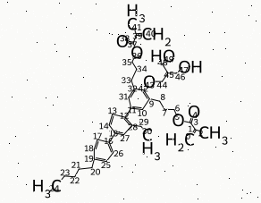 C=C(C)C(=O)OCCCc1cc(-c2ccc(-c3ccc(CCCCC)cc3)cc2CC)cc(CCCOC(=O)C(=C)C)c1OCC(CO)CO